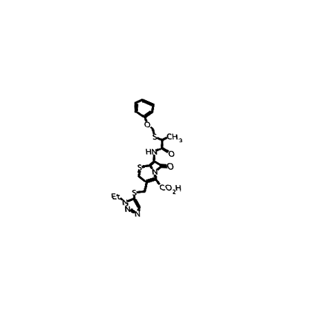 CCn1nncc1SCC1=C(C(=O)O)N2C(=O)C(NC(=O)C(C)SCOc3ccccc3)C2SC1